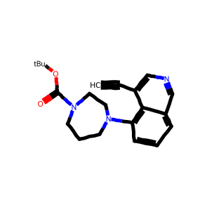 C#Cc1cncc2cccc(N3CCCN(C(=O)OC(C)(C)C)CC3)c12